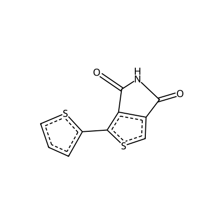 O=C1NC(=O)c2c1csc2-c1cccs1